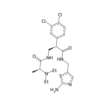 CCN(CC)[C@@H](C)C(=O)NC[C@H](C(=O)NCc1cnc(N)s1)c1ccc(Cl)c(Cl)c1